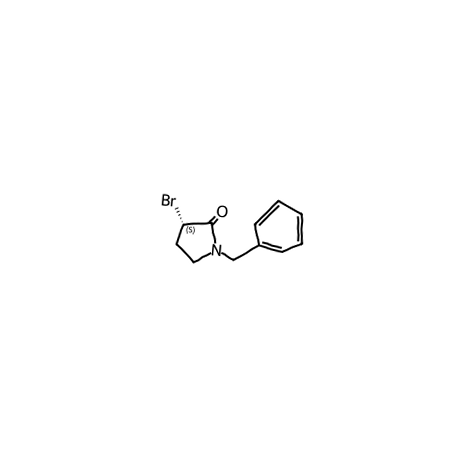 O=C1[C@@H](Br)CCN1Cc1ccccc1